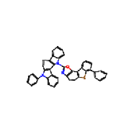 c1ccc(-c2cccc3c2sc2ccc4nc(-n5c6ccccc6c6ccc7c(c8ccccc8n7-c7ccccc7)c65)oc4c23)cc1